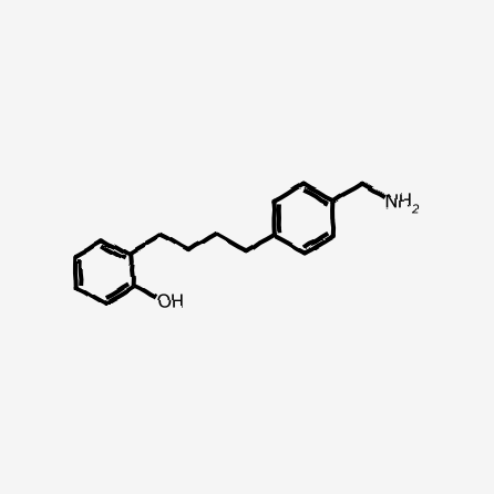 NCc1ccc(CCCCc2ccccc2O)cc1